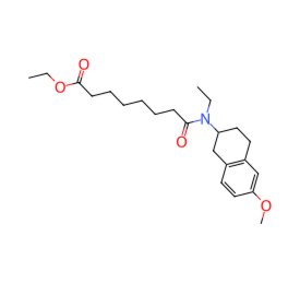 CCOC(=O)CCCCCCC(=O)N(CC)C1CCc2cc(OC)ccc2C1